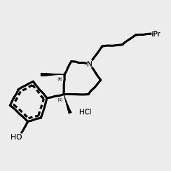 CC(C)CCCN1CC[C@](C)(c2cccc(O)c2)[C@@H](C)C1.Cl